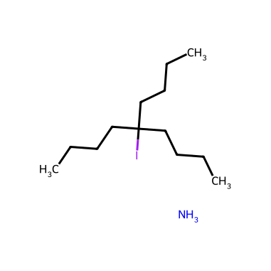 CCCCC(I)(CCCC)CCCC.N